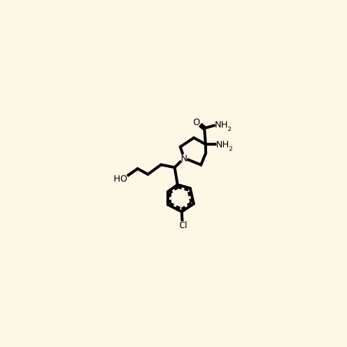 NC(=O)C1(N)CCN(C(CCCO)c2ccc(Cl)cc2)CC1